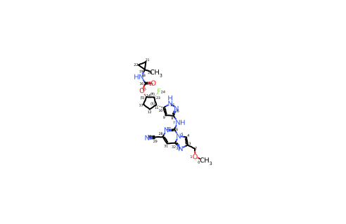 COCc1cn2c(Nc3cc([C@@H]4CC[C@H](OC(=O)NC5(C)CC5)[C@@H]4F)[nH]n3)nc(C#N)cc2n1